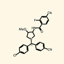 COC1CN([C@H](c2ccc(Cl)cc2)c2ccc(C#N)cc2)CC1NC(=O)c1ccc(C#N)cc1F